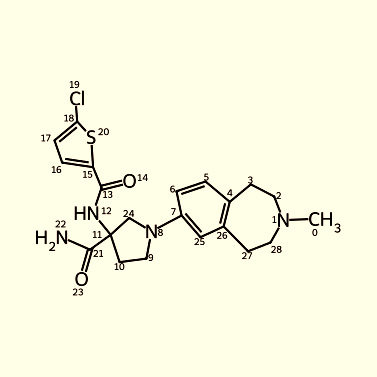 CN1CCc2ccc(N3CCC(NC(=O)c4ccc(Cl)s4)(C(N)=O)C3)cc2CC1